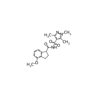 COc1cccc2c1CCC2C(=O)NS(=O)(=O)c1c(C)nn(C)c1C